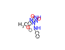 Cc1cc2nc3c(=O)[nH]c(=O)nc-3n(CCNCc3ccc4ccccc4c3)c2cc1OC1CCCC1